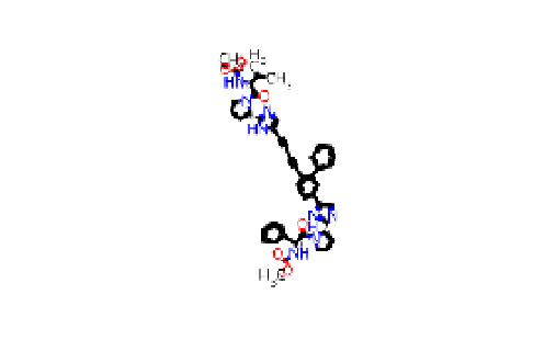 COC(=O)N[C@H](C(=O)N1CCC[C@H]1c1ncc(C#CC#Cc2ccc(-c3cnc([C@@H]4CCCN4C(=O)[C@H](NC(=O)OC)c4ccccc4)[nH]3)cc2-c2ccccc2)[nH]1)C(C)C